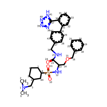 CN(C)CC1CCCC(S(=O)(=O)NC(COCc2ccccc2)C(=O)NCc2ccc(-c3ccccc3-c3nnn[nH]3)cc2)C1